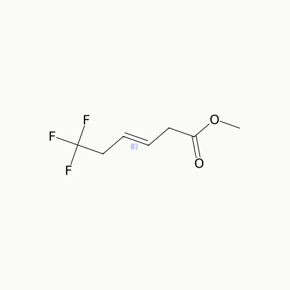 COC(=O)C/C=C/CC(F)(F)F